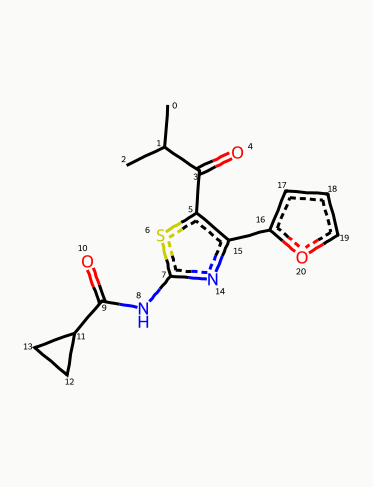 CC(C)C(=O)c1sc(NC(=O)C2CC2)nc1-c1ccco1